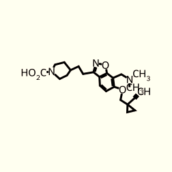 C#CC1(COc2ccc3c(CCC4CCN(C(=O)O)CC4)noc3c2CN(C)C)CC1